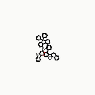 c1ccc(C2(c3ccccc3)c3ccccc3-c3c(N(c4ccc5c(c4)sc4ccccc45)c4ccccc4-c4cccc5oc6c7ccccc7ccc6c45)cccc32)cc1